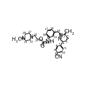 C=C1SCC(c2ccc(C#N)cc2)=NN1Cc1cccc(NC(=O)OCCN2CCN(C)CC2)c1